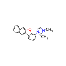 C[C@H]1N(C)C=CN1c1cccc2c1oc1cc3ccccc3cc12